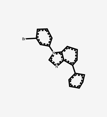 Brc1cccc(-n2cnc3c(-c4ccccc4)cccc32)c1